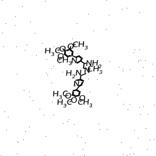 COc1cc(-c2ccc(C(N)CN(C)CC(N)c3ccc(-c4cc(OC)c(OC)c(OC)c4)nc3)cn2)cc(OC)c1OC